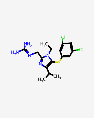 CCn1c(CN=C(N)N)nc(C(C)C)c1Sc1cc(Cl)cc(Cl)c1